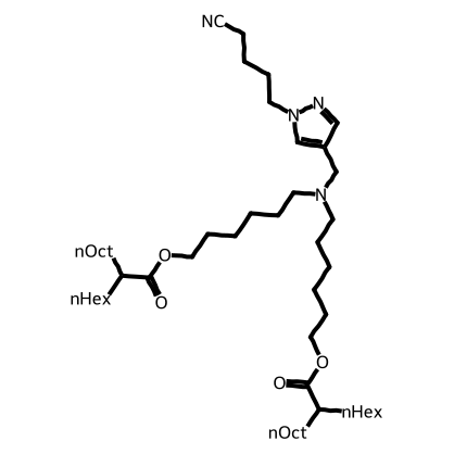 CCCCCCCCC(CCCCCC)C(=O)OCCCCCCN(CCCCCCOC(=O)C(CCCCCC)CCCCCCCC)Cc1cnn(CCCCC#N)c1